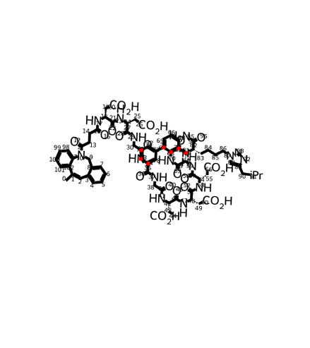 C/C1=C/c2ccccc2CN(C(=O)CCC(=O)N[C@@H](CC(=O)O)C(=O)N[C@@H](CC(=O)O)C(=O)NCC(=O)NCC(=O)NCC(=O)N[C@@H](CC(=O)O)C(=O)N[C@@H](CC(=O)O)C(=O)N[C@@H](CC(=O)O)C(=O)N[C@@H](Cc2ccccc2)C(=O)N[C@@H](Cc2ccccc2)C(=O)N[C@@H](CCCCn2cc(CC(C)C)nn2)C(N)=O)c2ccccc21